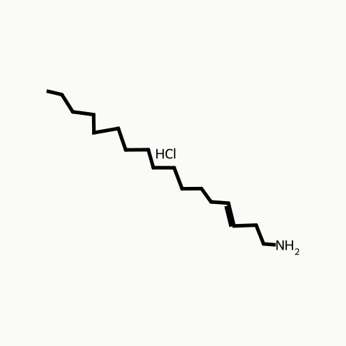 CCCCCCCCCCCCCC=CCCN.Cl